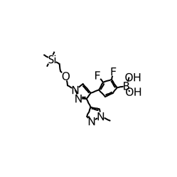 Cn1cc(-c2nn(COCC[Si](C)(C)C)cc2-c2ccc(B(O)O)c(F)c2F)cn1